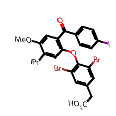 COc1cc(C(=O)c2ccc(I)cc2)c(Oc2c(Br)cc(CC(=O)O)cc2Br)cc1C(C)C